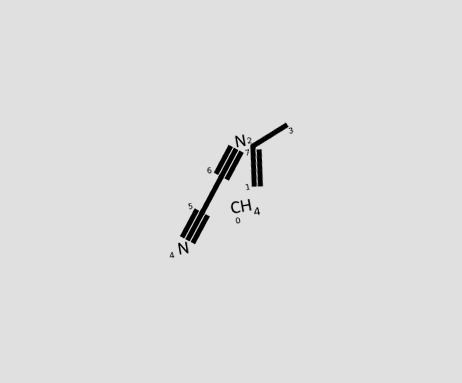 C.C=CC.N#CC#N